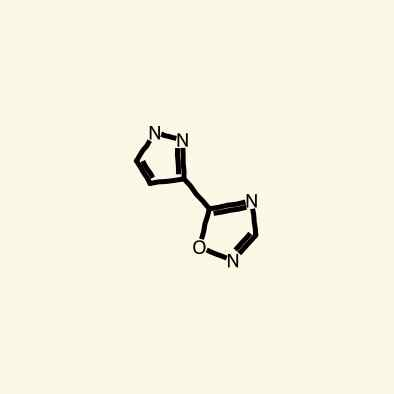 C1=CC(c2ncno2)=N[N]1